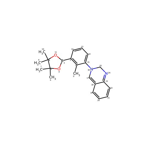 Cc1c(B2OC(C)(C)C(C)(C)O2)cccc1N1C=c2ccccc2=NC1